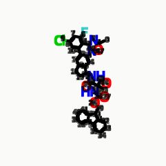 Cc1nc(-c2c(F)cc(Cl)cc2-c2ccc3c(c2)CCC3NC(=O)C2(NC(=O)OCC3c4ccccc4-c4ccccc43)COC2)no1